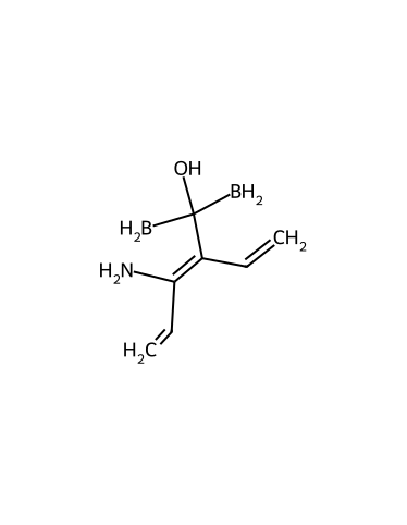 BC(B)(O)/C(C=C)=C(\N)C=C